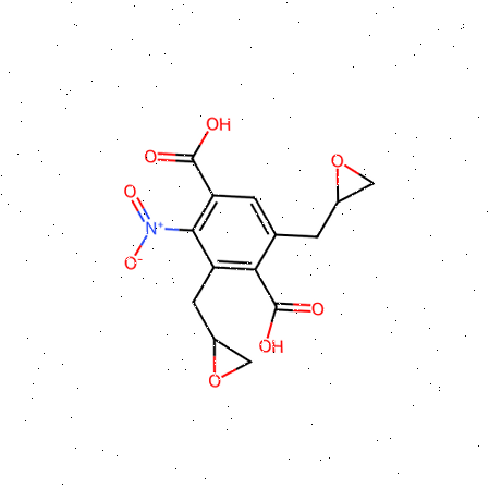 O=C(O)c1cc(CC2CO2)c(C(=O)O)c(CC2CO2)c1[N+](=O)[O-]